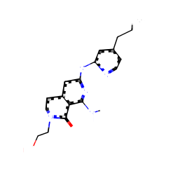 COCCc1ccnc(Nc2cc3ccn(CCO)c(=O)c3c(NC(C)(C)C)n2)c1